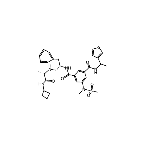 CC(NC(=O)c1cc(C(=O)N[C@H](CN[C@@H](C)C(=O)NC2CCC2)Cc2ccccc2)cc(N(C)S(C)(=O)=O)c1)c1ccsc1